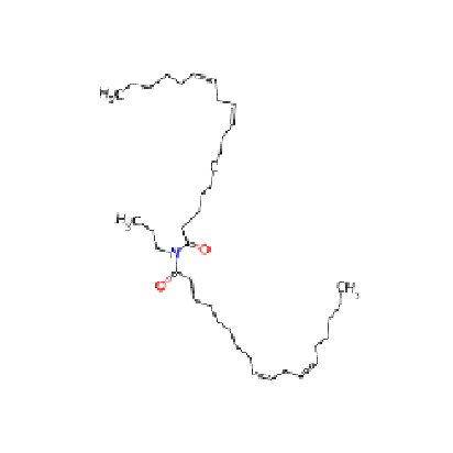 CCCCC/C=C\C/C=C\CCCCCCCC(=O)N(CCC)C(=O)CCCCCCC/C=C\C/C=C\CCCCC